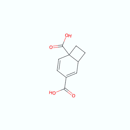 O=C(O)C1=CC2CCC2(C(=O)O)C=C1